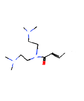 CCCCCCCC=CC(=O)N(CCN(C)C)CCN(C)C